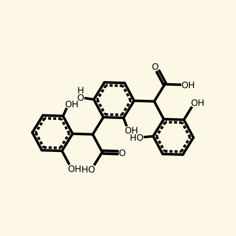 O=C(O)C(c1ccc(O)c(C(C(=O)O)c2c(O)cccc2O)c1O)c1c(O)cccc1O